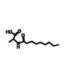 CCCCCCCCC(=O)NC(C)C(=O)O